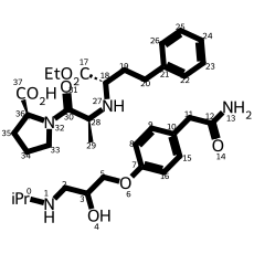 CC(C)NCC(O)COc1ccc(CC(N)=O)cc1.CCOC(=O)[C@H](CCc1ccccc1)N[C@@H](C)C(=O)N1CCC[C@H]1C(=O)O